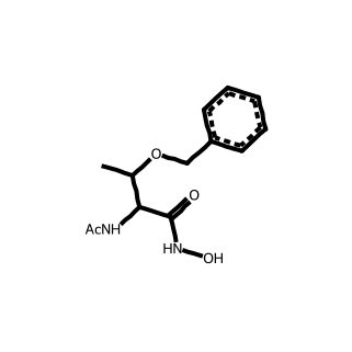 CC(=O)NC(C(=O)NO)C(C)OCc1ccccc1